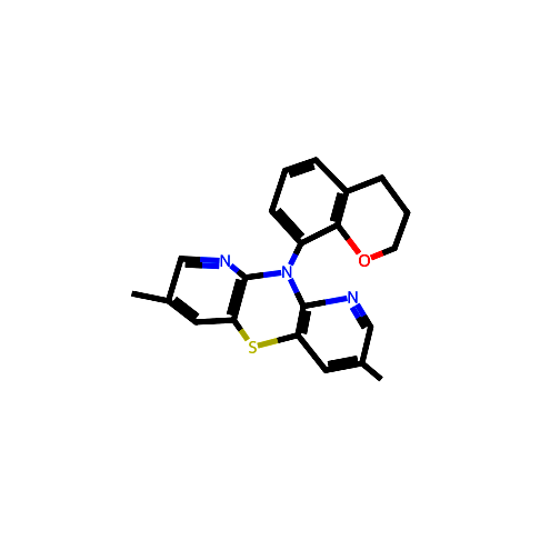 Cc1cnc2c(c1)Sc1cc(C)cnc1N2c1cccc2c1OCCC2